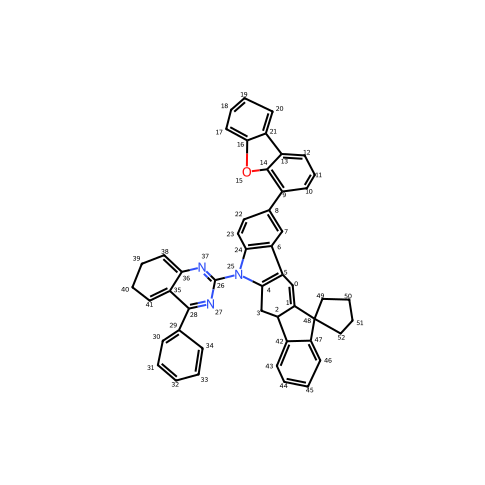 C1=C2C(Cc3c1c1cc(-c4cccc5c4oc4ccccc45)ccc1n3-c1nc(-c3ccccc3)c3c(n1)=CCCC=3)c1ccccc1C21CCCC1